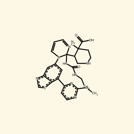 CCNC(=O)NC1(C2CNCCC2(C)C(=O)O)N=CC=CN1c1cc(-c2ccnc(OC)n2)c2scnc2c1